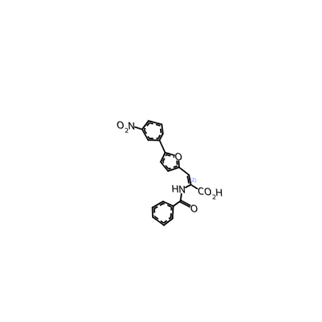 O=C(O)/C(=C/c1ccc(-c2cccc([N+](=O)[O-])c2)o1)NC(=O)c1ccccc1